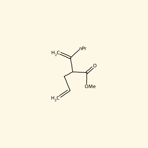 C=CCC(C(=C)CCC)C(=O)OC